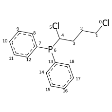 ClCCCC(Cl)P(c1ccccc1)c1ccccc1